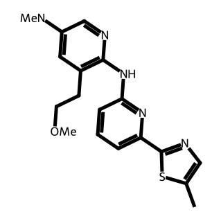 CNc1cnc(Nc2cccc(-c3ncc(C)s3)n2)c(CCOC)c1